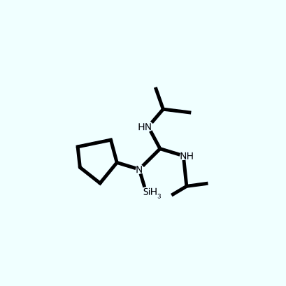 CC(C)NC(NC(C)C)N([SiH3])C1CCCC1